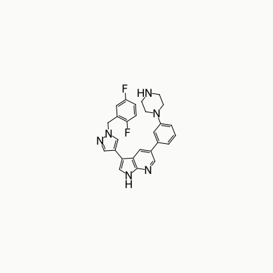 Fc1ccc(F)c(Cn2cc(-c3c[nH]c4ncc(-c5cccc(N6CCNCC6)c5)cc34)cn2)c1